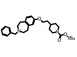 CC(C)(C)OC(=O)N1CCC(CCOc2ccc3c(c2)CCN(Cc2ccccc2)CC3)CC1